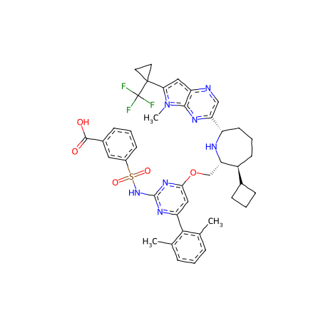 Cc1cccc(C)c1-c1cc(OC[C@@H]2N[C@H](c3cnc4cc(C5(C(F)(F)F)CC5)n(C)c4n3)CCC[C@H]2C2CCC2)nc(NS(=O)(=O)c2cccc(C(=O)O)c2)n1